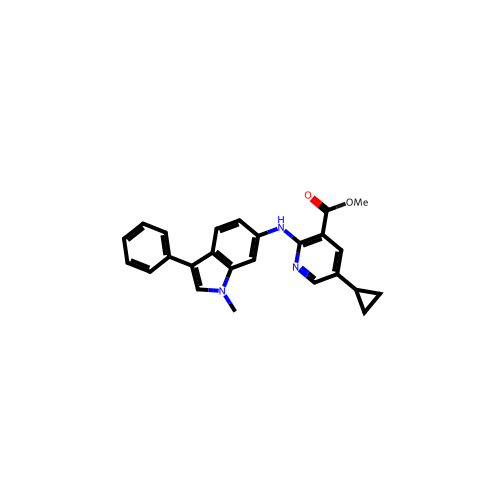 COC(=O)c1cc(C2CC2)cnc1Nc1ccc2c(-c3ccccc3)cn(C)c2c1